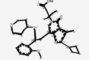 COc1ccccc1[C@H](Cc1cn(C(C)(C)C(=O)O)c(=O)c2c(C)c(C3CCC3)sc12)OC1CCOCC1